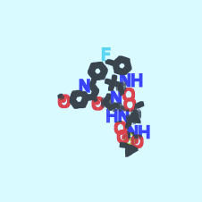 CC[C@@H]1C[C@]1(NC(=O)[C@@H]1C[C@@H](Oc2cc(-c3ccccc3)nc3cc(OC)ccc23)CN1C(=O)[C@@H](Nc1cccc(CF)c1)C(C)(C)C)C(=O)NS(=O)(=O)C1(C)CC1